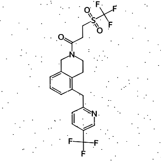 O=C(CCS(=O)(=O)C(F)(F)F)N1CCc2c(Cc3ccc(C(F)(F)F)cn3)cccc2C1